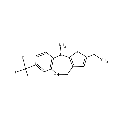 CCc1cc2c(s1)N(N)c1ccc(C(F)(F)F)cc1NC2